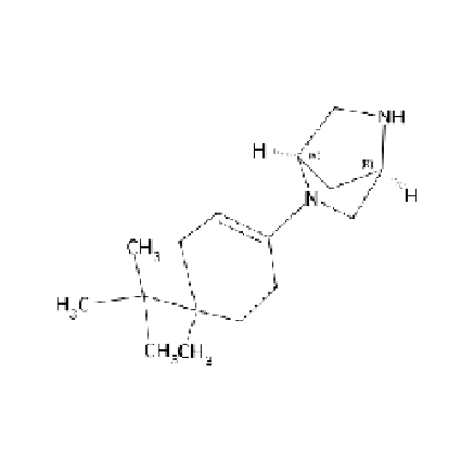 CC(C)(C)C1(C)CC=C(N2C[C@H]3C[C@@H]2CN3)CC1